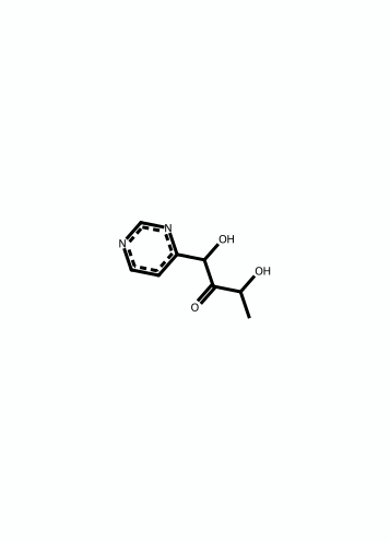 CC(O)C(=O)C(O)c1ccncn1